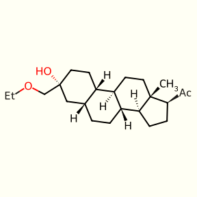 CCOC[C@@]1(O)CC[C@H]2[C@H](CC[C@@H]3[C@@H]2CC[C@]2(C)[C@@H](C(C)=O)CC[C@@H]32)C1